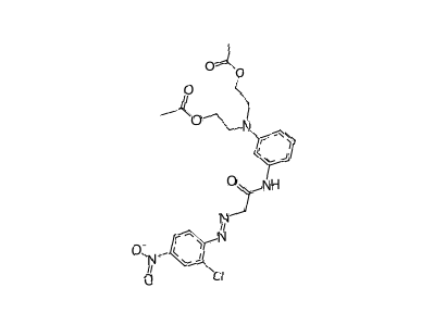 CC(=O)OCCN(CCOC(C)=O)c1cccc(NC(=O)CN=Nc2ccc([N+](=O)[O-])cc2Cl)c1